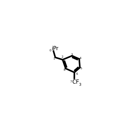 CC(C)Cc1[c]ccc(C(F)(F)F)c1